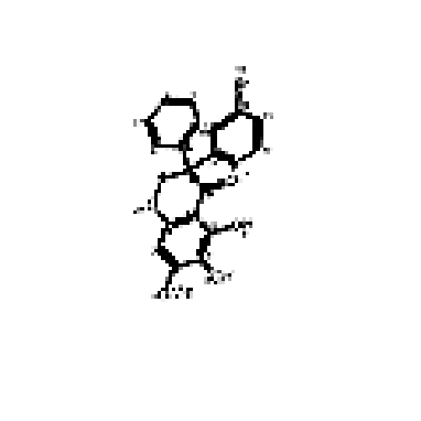 COc1cc2c(c(O)c1O)C(=O)C(c1ccccc1)(c1cccc(Br)c1)CO2